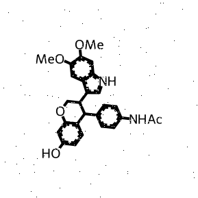 COc1cc2[nH]cc(C3COc4cc(O)ccc4C3c3ccc(NC(C)=O)cc3)c2cc1OC